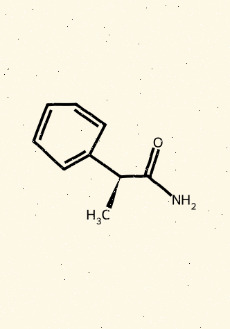 C[C@H](C(N)=O)c1ccccc1